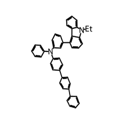 CCn1c2ccccc2c2c(-c3cccc(N(c4ccccc4)c4ccc(-c5ccc(-c6ccccc6)cc5)cc4)c3)cccc21